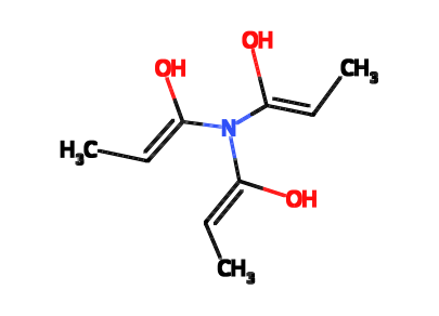 CC=C(O)N(C(O)=CC)C(O)=CC